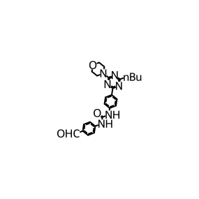 CCCCc1nc(-c2ccc(NC(=O)Nc3ccc(C=O)cc3)cc2)nc(N2CCOCC2)n1